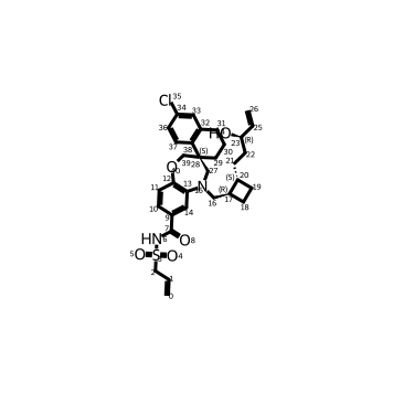 C=CCS(=O)(=O)NC(=O)c1ccc2c(c1)N(C[C@@H]1CC[C@H]1CC[C@@H](O)C=C)C[C@@]1(CCCc3cc(Cl)ccc31)CO2